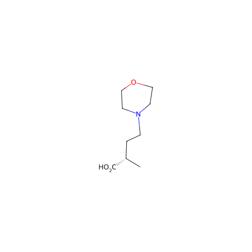 C[C@@H](CCN1CCOCC1)C(=O)O